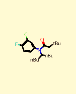 CCCCC(CCCC)N(C(=O)CC(C)(C)C)c1ccc(F)c(Cl)c1